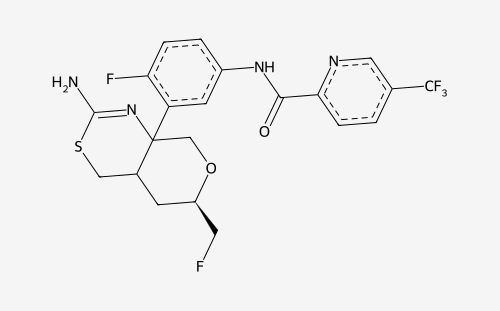 NC1=NC2(c3cc(NC(=O)c4ccc(C(F)(F)F)cn4)ccc3F)CO[C@@H](CF)CC2CS1